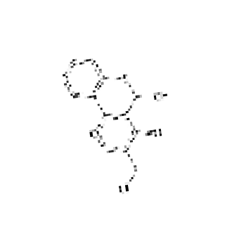 CC1Sc2ccccc2-c2occ(CCl)c(=O)c21